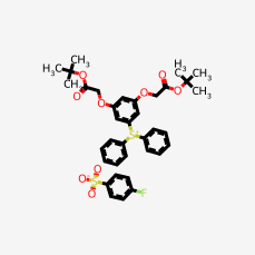 CC(C)(C)OC(=O)COc1cc(OCC(=O)OC(C)(C)C)cc([S+](c2ccccc2)c2ccccc2)c1.O=S(=O)([O-])c1ccc(F)cc1